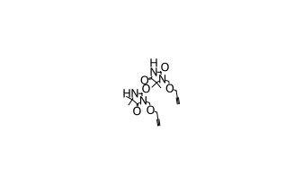 C#CCOCN1C(=O)NC(=O)C1(C)C.C#CCOCN1C(=O)NC(C)(C)C1=O